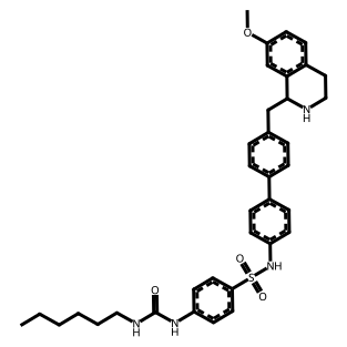 CCCCCCNC(=O)Nc1ccc(S(=O)(=O)Nc2ccc(-c3ccc(CC4NCCc5ccc(OC)cc54)cc3)cc2)cc1